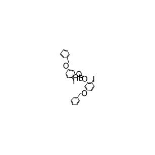 Ic1ccc(OCc2ccccc2)cc1OBOc1cc(OCc2ccccc2)ccc1I